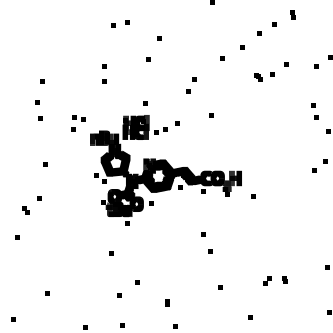 CCCCN1CC[C@@H](N(C(=O)OC(C)(C)C)c2ccc(C=CC(=O)O)cn2)C1.Cl.Cl